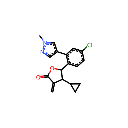 C=C1C(=O)OC(c2ccc(Cl)cc2-c2cnn(C)c2)C1C1CC1